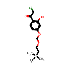 C[Si](C)(C)CCOCOc1ccc(C(=O)CCl)c(O)c1